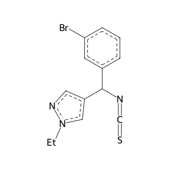 CCn1cc(C(N=C=S)c2cccc(Br)c2)cn1